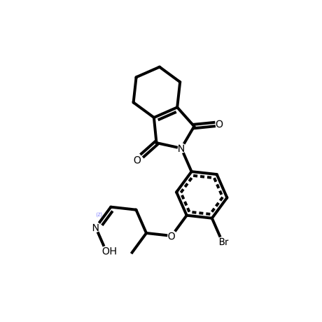 CC(C/C=N\O)Oc1cc(N2C(=O)C3=C(CCCC3)C2=O)ccc1Br